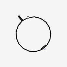 C=C1CCCCCCC/C=C\CCCCCCO1